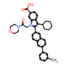 Cc1cccc(-c2ccc3cc(-c4c(C5CCCCC5)c5ccc(C(=O)O)cc5n4CC(=O)N4CCOCC4)ccc3c2)c1